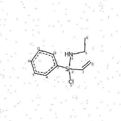 C=C[Si](Cl)(NCC)c1ccccc1